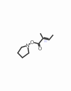 C/C=C(\C)C(=O)ON1CCCC1